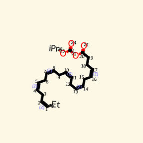 CC/C=C\C/C=C\C/C=C\C/C=C\C/C=C\C/C=C\CCC(=O)OC(=O)OC(C)C